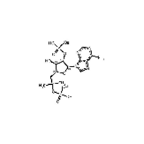 CCC(C)P(=O)(O)O[C@@H]1[C@H](O)[C@H](CC(C)(C)OP(=O)(O)O)O[C@@H]1n1cnc2c(N)ncnc21